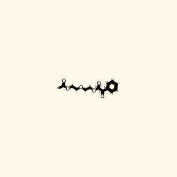 CC(=O)OCCOCCOC(=O)C(=O)c1ccccc1